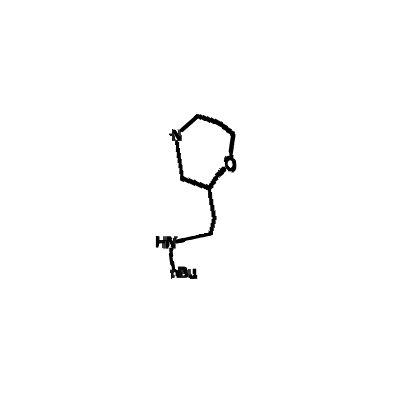 CCCCNCC1C[N]CCO1